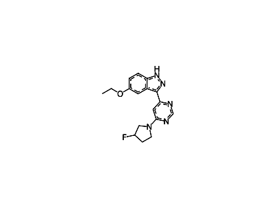 CCOc1ccc2[nH]nc(-c3cc(N4CCC(F)C4)ncn3)c2c1